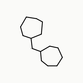 [CH](C1CCCCCC1)C1CCCCCC1